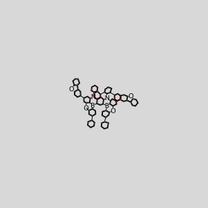 c1ccc(-c2ccc3c(c2)Oc2cc(-c4ccc5oc6ccccc6c5c4)cc4c2B3c2cc3c(cc2N4c2ccccc2)N(c2c(-c4ccccc4)cccc2-c2ccccc2)c2cc(-c4ccc5oc6ccccc6c5c4)cc4c2B3c2ccc(-c3ccccc3)cc2O4)cc1